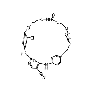 N#Cc1cnc2nc1Nc1ccc(cc1)CN1CCN(CCC(=O)NCCCOc3ccc(cc3Cl)N2)CC1